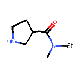 CCN(C)C(=O)C1C[CH]NC1